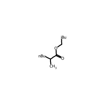 CCCCC(C)C(=O)OCC(C)CC